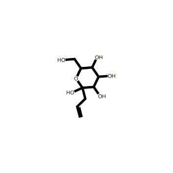 C=CCC1(O)OC(CO)C(O)C(O)C1O